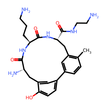 Cc1ccc2cc1C[C@@H](C(=O)NCCN)NC(=O)[C@H](CCCN)NC(=O)[C@@H](N)Cc1cc-2ccc1O